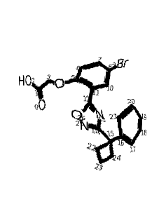 O=C(O)COc1ccc(Br)cc1-c1nc(C2(c3ccccc3)CCC2)no1